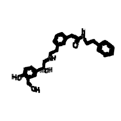 O=C(Cc1cccc(CCNC[C@H](O)c2ccc(O)c(CO)c2)c1)NCCc1ccccc1